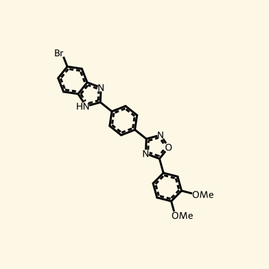 COc1ccc(-c2nc(-c3ccc(-c4nc5cc(Br)ccc5[nH]4)cc3)no2)cc1OC